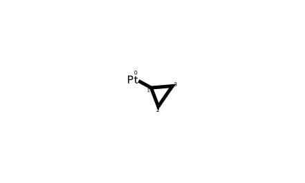 [Pt][CH]1CC1